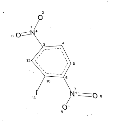 O=[N+]([O-])c1ccc([N+](=O)[O-])c(I)c1